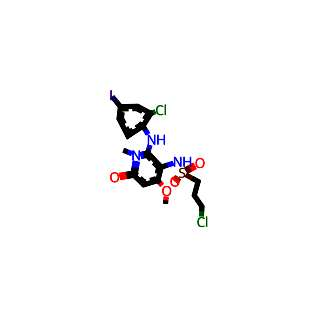 COc1cc(=O)n(C)c(Nc2ccc(I)cc2Cl)c1NS(=O)(=O)CCCCl